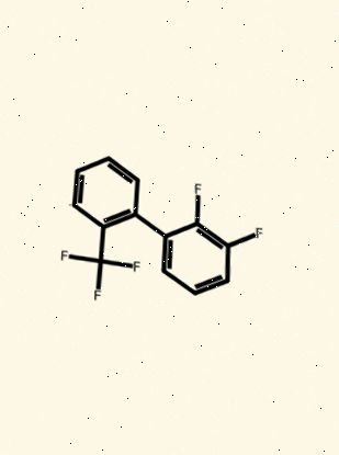 Fc1cccc(-c2ccc[c]c2C(F)(F)F)c1F